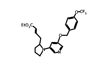 CCOC(=O)/C=C/CC1CCCN1c1cncc(OCc2ccc(OC(F)(F)F)cc2)c1